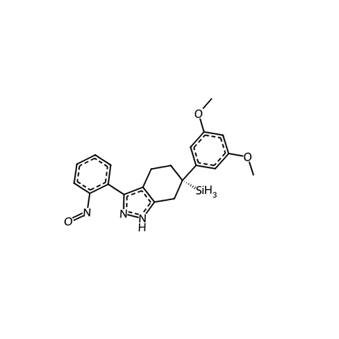 COc1cc(OC)cc([C@]2([SiH3])CCc3c(-c4ccccc4N=O)n[nH]c3C2)c1